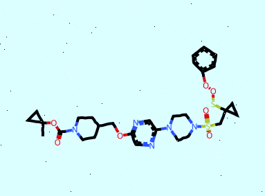 CC1(OC(=O)N2CCC(COc3cnc(N4CCN(S(=O)(=O)CC5(SOOc6ccccc6)CC5)CC4)cn3)CC2)CC1